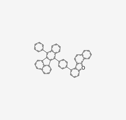 c1ccc(-c2c3c(c(-c4ccc(-c5cccc6oc7c8ccccc8ccc7c56)cc4)c4ccccc24)-c2cccc4cccc-3c24)cc1